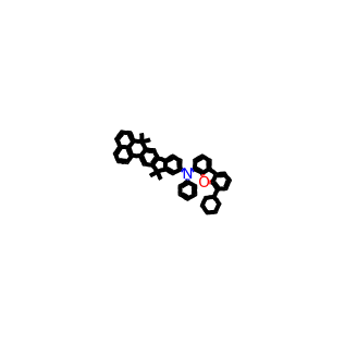 CC1(C)c2cc(N(c3ccccc3)c3cccc4c3oc3c(C5CCCCC5)cccc34)ccc2-c2cc3c(cc21)-c1cccc2cccc(c12)C3(C)C